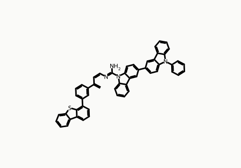 C=C(/C=C\N=C(/N)n1c2ccccc2c2cc(-c3ccc4c(c3)c3ccccc3n4-c3ccccc3)ccc21)c1cccc(-c2cccc3c2sc2ccccc23)c1